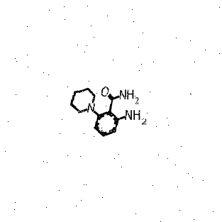 NC(=O)c1c(N)cccc1N1CCCCC1